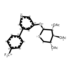 CC(=O)O[C@@H]1[C@@H](OC(C)=O)[C@H](OC(C)=O)CS[C@H]1Oc1cncc(-c2ccc(C(F)(F)F)cc2)c1